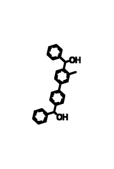 Cc1cc(-c2ccc(C(O)c3ccccc3)cc2)ccc1C(O)c1ccccc1